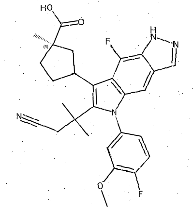 COc1cc(-n2c(C(C)(C)CC#N)c(C3CC[C@@](C)(C(=O)O)C3)c3c(F)c4[nH]ncc4cc32)ccc1F